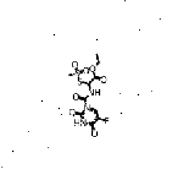 CCOC(=O)C(NC(=O)n1cc(F)c(=O)[nH]c1=O)SS(C)(=O)=O